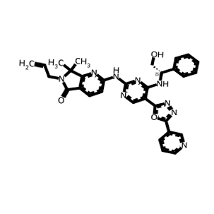 C=CCN1C(=O)c2ccc(Nc3ncc(-c4nnc(-c5cccnc5)o4)c(N[C@H](CO)c4ccccc4)n3)nc2C1(C)C